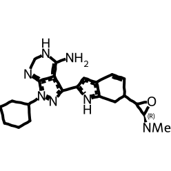 CN[C@@H]1OC1C1C=Cc2cc(-c3nn(C4CCCCC4)c4c3=C(N)NCN=4)[nH]c2C1